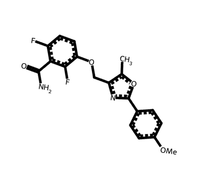 COc1ccc(-c2nc(COc3ccc(F)c(C(N)=O)c3F)c(C)o2)cc1